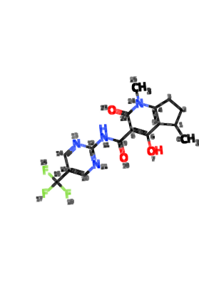 CC1CCc2c1c(O)c(C(=O)Nc1ncc(C(F)(F)F)cn1)c(=O)n2C